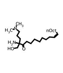 CCCCCCCC/C=C\CCCCCCCC(=O)C(N)(CO)CCCN(C)C